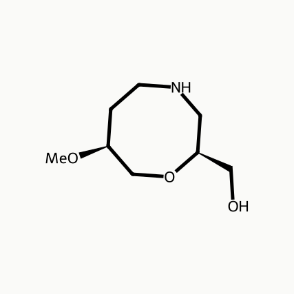 CO[C@H]1CCNC[C@@H](CO)OC1